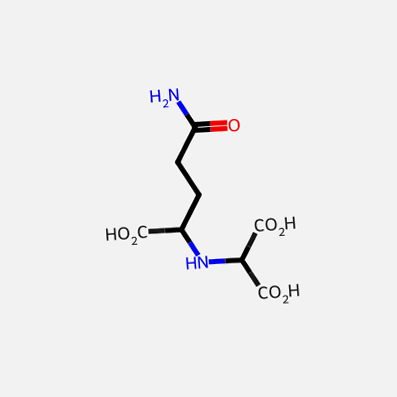 NC(=O)CCC(NC(C(=O)O)C(=O)O)C(=O)O